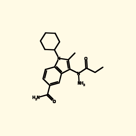 CCC(=O)N(N)c1c(C)n(C2CCCCC2)c2ccc(C(N)=O)cc12